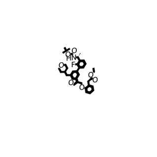 CCOC(=O)Cc1ccccc1OCc1coc2c(CC3CCOCC3)cc(-c3cccc([C@@H](C)NC(=O)OC(C)(C)C)c3F)cc12